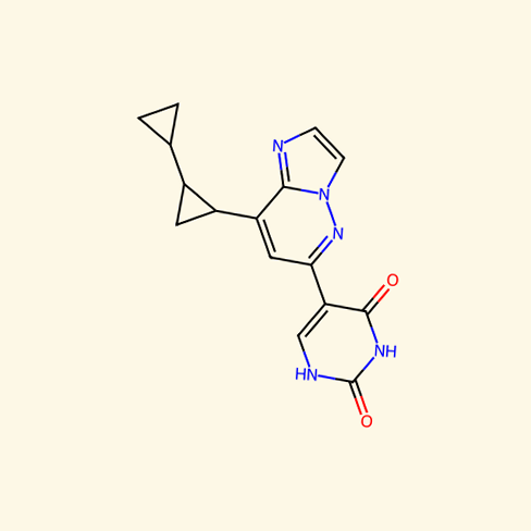 O=c1[nH]cc(-c2cc(C3CC3C3CC3)c3nccn3n2)c(=O)[nH]1